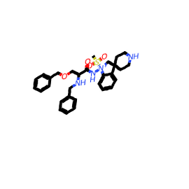 CS(=O)(=O)[N+]1(NC(=O)C(COCc2ccccc2)NCc2ccccc2)CC2(CCNCC2)c2ccccc21